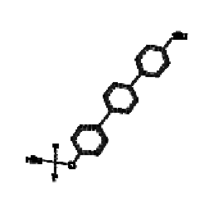 CCCCC(F)(F)Oc1ccc(-c2ccc(-c3ccc(C(C)(C)C)cc3)cc2)cc1